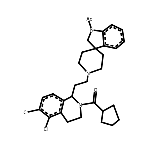 CC(=O)N1CC2(CCN(CCC3c4ccc(Cl)c(Cl)c4CCN3C(=O)C3CCCC3)CC2)c2ccccc21